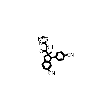 CC1(C(=O)Nc2nncs2)Cc2ccc(C#N)cc2C1c1ccc(C#N)cc1